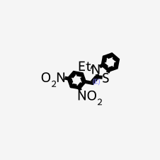 CCN1/C(=C\c2ccc([N+](=O)[O-])cc2[N+](=O)[O-])Sc2ccccc21